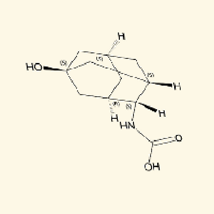 O=C(O)N[C@@H]1[C@@H]2C[C@@H]3C[C@H]1C[C@@](O)(C3)C2